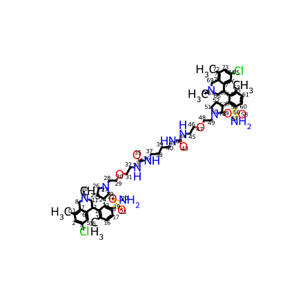 Cc1cc(Cl)cc2c1CN(C)CC2c1c(C)ccc(S(N)(=O)=O)c1[C@@H]1CCN(CCOCCNC(=O)NCCCCNC(=O)NCCOCCN2CC[C@@H](c3c(S(N)(=O)=O)ccc(C)c3C3CN(C)Cc4c(C)cc(Cl)cc43)C2)C1